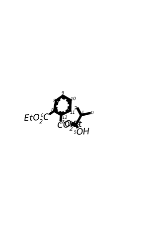 CC(C)C(=O)O.CCOC(=O)c1ccccc1C(=O)OCC